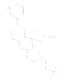 COC(C)(C)CCc1ccc2c(c1)[C@@]1(COC(N)=N1)c1cc(-c3cccnc3)cnc1O2